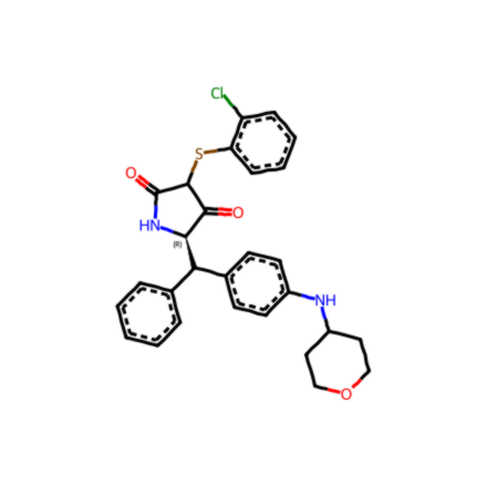 O=C1N[C@H](C(c2ccccc2)c2ccc(NC3CCOCC3)cc2)C(=O)C1Sc1ccccc1Cl